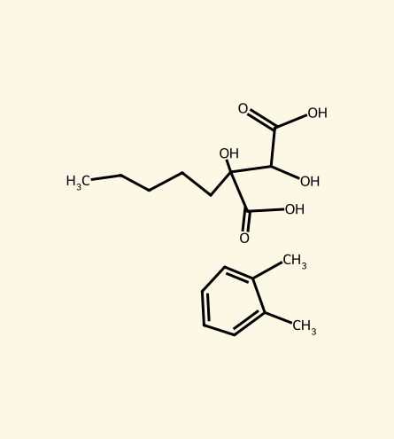 CCCCCC(O)(C(=O)O)C(O)C(=O)O.Cc1ccccc1C